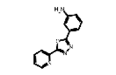 Nc1cccc(-c2nnc(-c3ccccn3)o2)c1